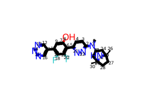 CN(c1ccc(-c2c(O)cc(-c3cnnnc3)c(F)c2F)nn1)[C@@H]1C[C@]2(C)CC[C@](C)(C1)N2